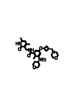 CCN(c1cc(O[C@H]2C[C@H](CN3CCOCC3)C2)cc(C(=O)NCc2c(C)cc(C)[nH]c2=O)c1C)C1CCOCC1